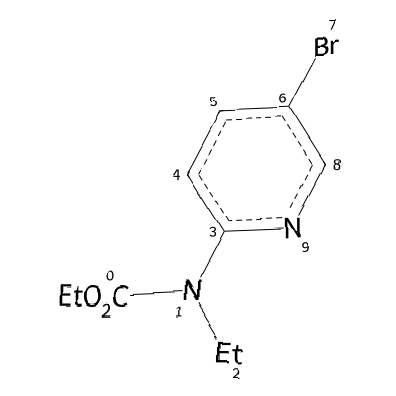 CCOC(=O)N(CC)c1ccc(Br)cn1